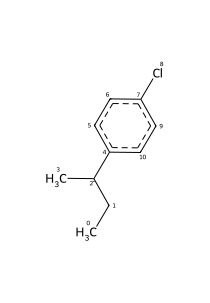 CC[C](C)c1ccc(Cl)cc1